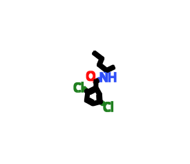 CCCC(C)NC(=O)c1cc(Cl)ccc1Cl